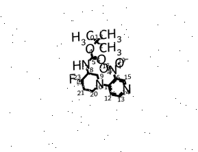 CC(C)(C)OC(=O)NC1CN(c2ccncc2[N+](=O)[O-])CC[C@@H]1F